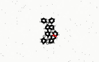 c1ccc(N(c2ccccc2)c2ccc3c4c(cccc24)N(c2ccccc2)c2cc4c(cc2-3)Oc2cccc3c2B4c2c(ccc4ccccc24)O3)cc1